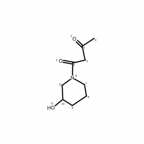 CC(=O)CC(=O)N1CCCC(O)C1